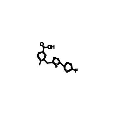 Cc1ccc(C(=O)O)cc1Cc1ccc(-c2ccc(F)cc2)s1